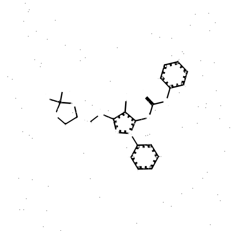 Cc1c(OC[C@@H]2COC(C)(C)O2)nn(-c2ccccc2)c1NC(=O)Oc1ccccc1